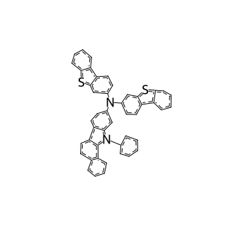 c1ccc(-n2c3cc(N(c4ccc5c(c4)sc4ccccc45)c4ccc5c(c4)sc4ccccc45)ccc3c3ccc4ccccc4c32)cc1